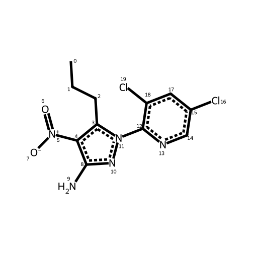 CCCc1c([N+](=O)[O-])c(N)nn1-c1ncc(Cl)cc1Cl